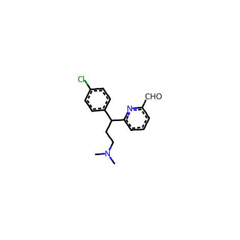 CN(C)CCC(c1ccc(Cl)cc1)c1cccc(C=O)n1